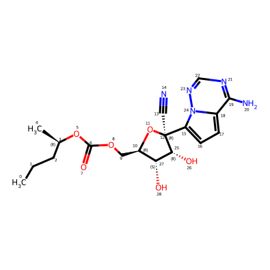 CCC[C@@H](C)OC(=O)OC[C@H]1O[C@@](C#N)(c2ccc3c(N)ncnn23)[C@H](O)[C@@H]1O